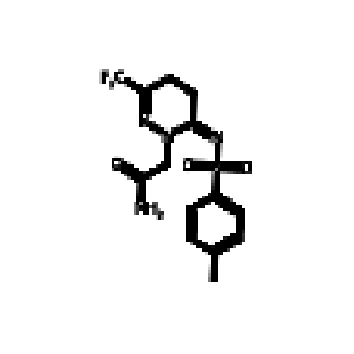 Cc1ccc(S(=O)(=O)/N=C2/CCC(C(F)(F)F)=NN2CC(N)=O)cc1